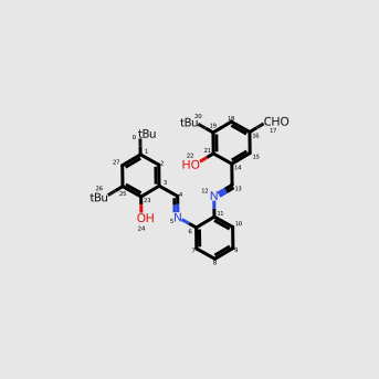 CC(C)(C)c1cc(C=Nc2ccccc2N=Cc2cc(C=O)cc(C(C)(C)C)c2O)c(O)c(C(C)(C)C)c1